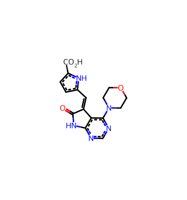 O=C1Nc2ncnc(N3CCOCC3)c2C1=Cc1ccc(C(=O)O)[nH]1